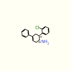 N[C@@H]1CC=C(c2ccccc2)C[C@H]1c1ccccc1Cl